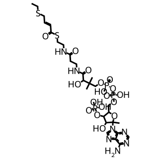 CCSCC=CC(=O)SCCNC(=O)CCNC(=O)C(O)C(C)(C)COP(=O)(O)OP(=O)(O)OCC1OC(C)(n2cnc3c(N)ncnc32)C(O)C1OP(=O)(O)O